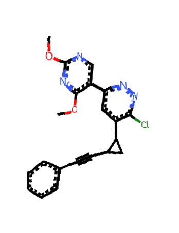 COc1ncc(-c2cc(C3CC3C#Cc3ccccc3)c(Cl)nn2)c(OC)n1